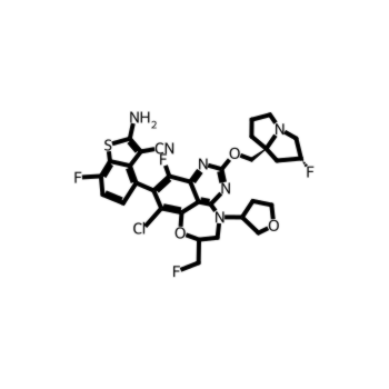 N#Cc1c(N)sc2c(F)ccc(-c3c(Cl)c4c5c(nc(OC[C@@]67CCCN6C[C@H](F)C7)nc5c3F)N(C3CCOC3)CC(CF)O4)c12